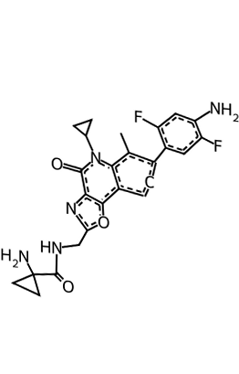 Cc1c(-c2cc(F)c(N)cc2F)ccc2c3oc(CNC(=O)C4(N)CC4)nc3c(=O)n(C3CC3)c12